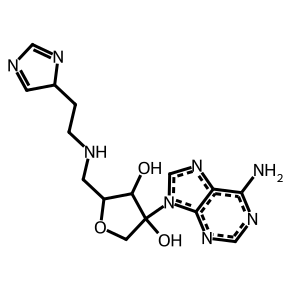 Nc1ncnc2c1ncn2C1(O)COC(CNCCC2C=NC=N2)C1O